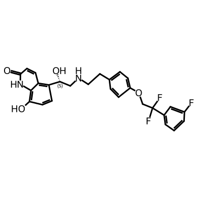 O=c1ccc2c([C@H](O)CNCCc3ccc(OCC(F)(F)c4cccc(F)c4)cc3)ccc(O)c2[nH]1